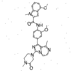 COc1cc(-c2nc(N3CCN(C)C(=O)C3)n3ccnc(C)c23)ccc1NC(=O)c1cc2c(OC)cccc2n1C